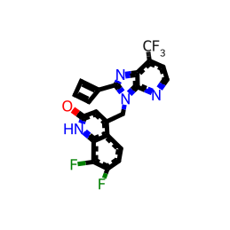 O=c1cc(Cn2c(C3=CC=C3)nc3c(C(F)(F)F)ccnc32)c2ccc(F)c(F)c2[nH]1